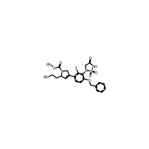 CC(C)(C)CCC1C=C(c2ccc(OCc3ccccc3)c(N3CC(=O)NS3(=O)=O)c2F)CN1C(=O)OC(C)(C)C